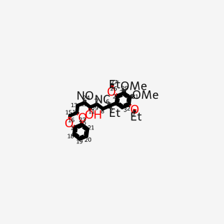 CCOc1cc(C(C#N)(CC)CCC(O)C(CC2COc3ccccc3O2)[N+](=O)[O-])c(OCC)c(OC)c1OC